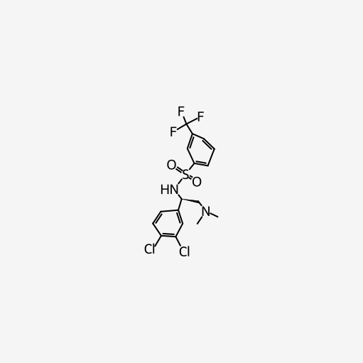 CN(C)C[C@H](NS(=O)(=O)c1cccc(C(F)(F)F)c1)c1ccc(Cl)c(Cl)c1